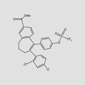 COC(=O)c1ccc2c(c1)CCCC(c1ccc(Cl)cc1Cl)=C2c1ccc(OS(=O)(=O)C(F)(F)F)cc1